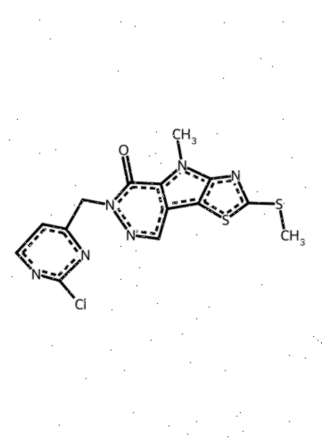 CSc1nc2c(s1)c1cnn(Cc3ccnc(Cl)n3)c(=O)c1n2C